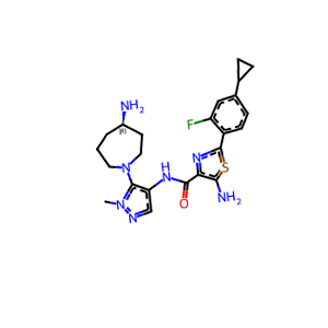 Cn1ncc(NC(=O)c2nc(-c3ccc(C4CC4)cc3F)sc2N)c1N1CCC[C@@H](N)CC1